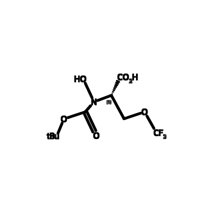 CC(C)(C)OC(=O)N(O)[C@@H](COC(F)(F)F)C(=O)O